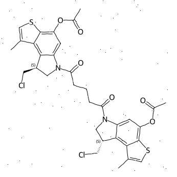 CC(=O)Oc1cc2c(c3c(C)csc13)[C@H](CCl)CN2C(=O)CCCC(=O)N1C[C@@H](CCl)c2c1cc(OC(C)=O)c1scc(C)c21